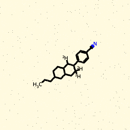 [2H]C1C2CCC(CCC)CC2CC([2H])([2H])C1c1ccc(C#N)cc1